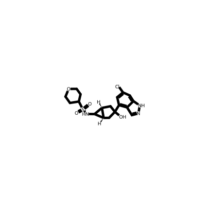 O=S(=O)(NC1[C@H]2CC(O)(c3cc(Cl)cc4[nH]ncc34)C[C@@H]12)C1CCOCC1